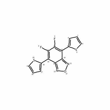 Fc1c(F)c(-c2cccs2)c2nonc2c1-c1cccs1